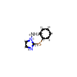 CC(=O)Nn1ccnc1Sc1ccccc1